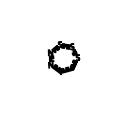 [c]1csssnn1